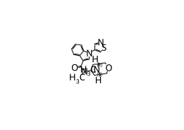 CN(C(=O)c1cn(-c2cnsc2)c2ccccc12)C1C[C@H]2COC[C@@H](C1)N2C